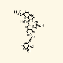 COc1ccc2nccc([C@H](O)CC[C@@H]3CCN(CC#Cc4cccc(Cl)c4Cl)C[C@H]3CCC(=O)O)c2c1